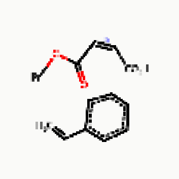 C=Cc1ccccc1.CC(C)OC(=O)/C=C\C(=O)O